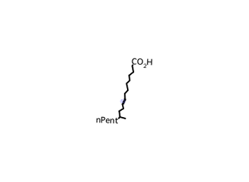 CCCCCC(C)CC/C=C/CCCCCCCC(=O)O